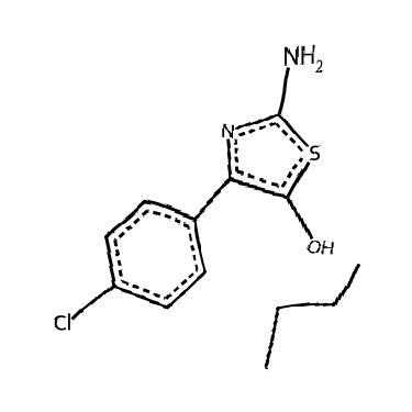 CCCC.Nc1nc(-c2ccc(Cl)cc2)c(O)s1